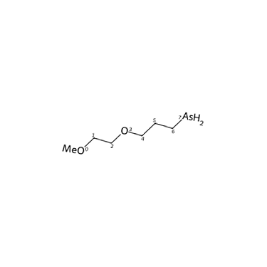 COCCOCCC[AsH2]